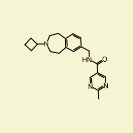 Cc1ncc(C(=O)NCc2ccc3c(c2)CCN(C2CCC2)CC3)cn1